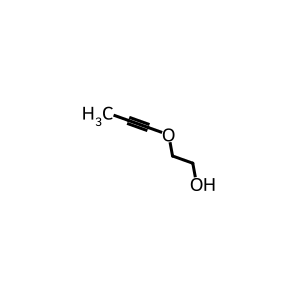 CC#COCCO